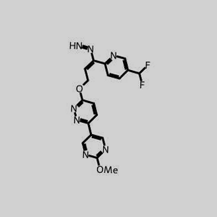 COc1ncc(-c2ccc(OC/C=C(/N=N)c3ccc(C(F)F)cn3)nn2)cn1